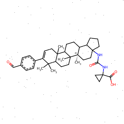 CC1(C)C(c2ccc(C=O)cc2)=CCC2(C)C1CCC1(C)C2CCC2C3CCCC3(NC(=O)NC3(C(=O)O)CC3)CC[C@]21C